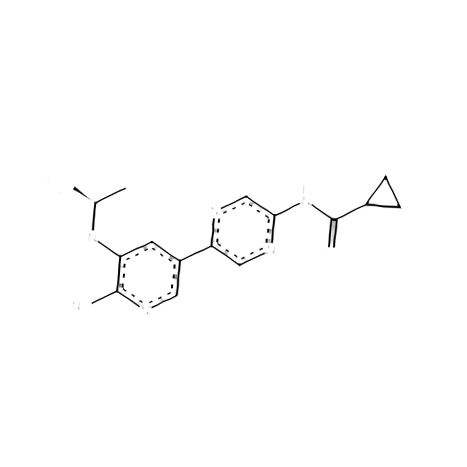 C[C@@H](Nc1cc(-c2cnc(NC(=O)C3CC3)cn2)cnc1C#N)C(=O)O